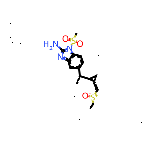 CC[S+]([O-])/C=C1/CC1C(C)c1ccc2c(c1)nc(N)n2S(C)(=O)=O